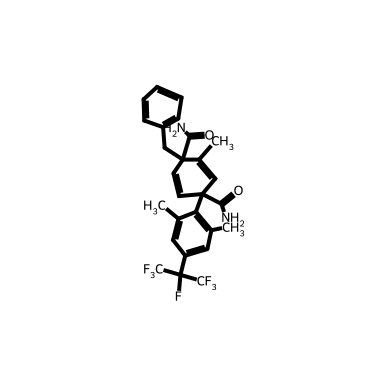 CC1=CC(C(N)=O)(c2c(C)cc(C(F)(C(F)(F)F)C(F)(F)F)cc2C)C=CC1(Cc1ccccc1)C(N)=O